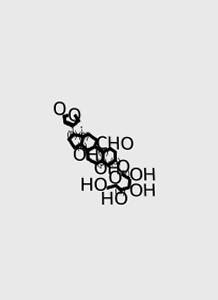 C[C@]12CCC3C(CC[C@]4(O)C[C@@H](O[C@@H]5OC(CO)[C@@H](O)C(O)C5O)CC[C@]34C=O)[C@@]1(O)CC[C@@H]2C1=CC(=O)OC1